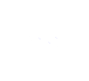 c1ccc(-c2cc(-n3c4cc5ccccc5cc4c4ccc5c(c43)Oc3ccccc3O5)nc(-c3ccccc3)n2)cc1